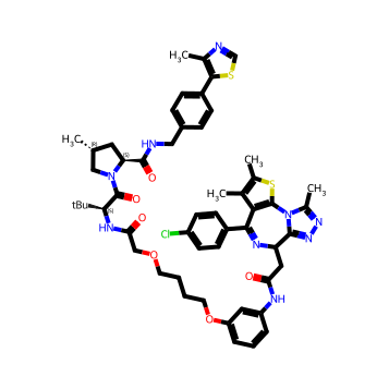 Cc1ncsc1-c1ccc(CNC(=O)[C@@H]2C[C@@H](C)CN2C(=O)[C@@H](NC(=O)COCCCCOc2cccc(NC(=O)CC3N=C(c4ccc(Cl)cc4)c4c(sc(C)c4C)-n4c(C)nnc43)c2)C(C)(C)C)cc1